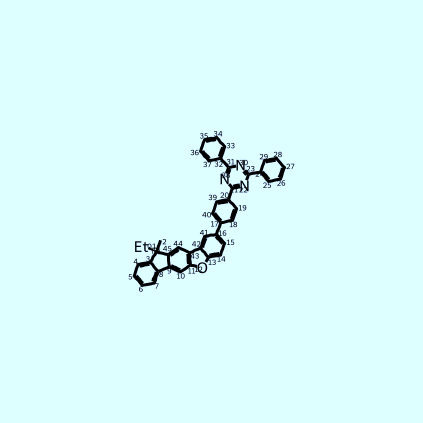 CC[C@]1(C)c2ccccc2-c2cc3oc4ccc(-c5ccc(-c6nc(-c7ccccc7)nc(-c7ccccc7)n6)cc5)cc4c3cc21